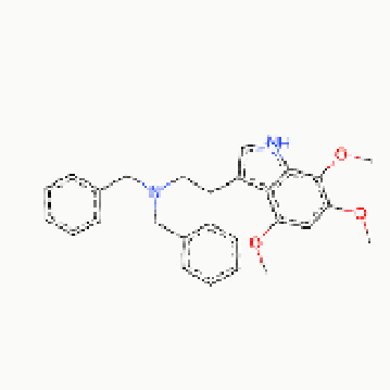 COc1cc(OC)c2c(CCN(Cc3ccccc3)Cc3ccccc3)c[nH]c2c1OC